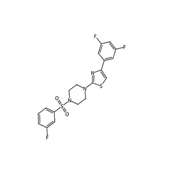 O=S(=O)(c1cccc(F)c1)N1CCN(c2nc(-c3cc(F)cc(F)c3)cs2)CC1